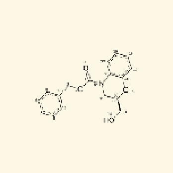 O=C(OCc1ccccc1)N1C[C@H](CO)Oc2ccccc21